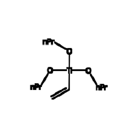 C=[CH][Ti]([O]CCC)([O]CCC)[O]CCC